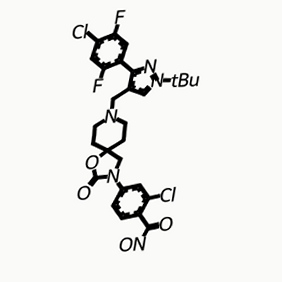 CC(C)(C)n1cc(CN2CCC3(CC2)CN(c2ccc(C(=O)N=O)c(Cl)c2)C(=O)O3)c(-c2cc(F)c(Cl)cc2F)n1